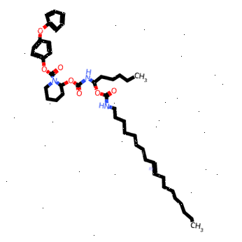 CCCCCCCC/C=C/CCCCCCCCNC(=O)OC(CCCCC)NC(=O)OC1CCCCN1C(=O)Oc1ccc(Oc2ccccc2)cc1